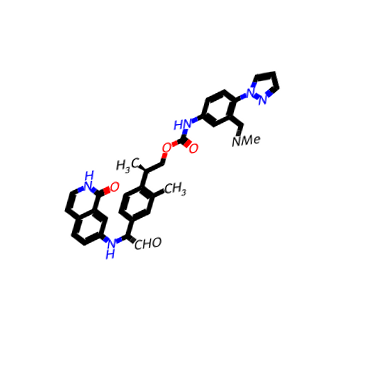 CNCc1cc(NC(=O)OC[C@H](C)c2ccc(C(C=O)Nc3ccc4cc[nH]c(=O)c4c3)cc2C)ccc1-n1cccn1